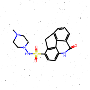 CN1CCN(NS(=O)(=O)c2ccc3[nH]c(=O)c4cccc5c4c3c2C5)CC1